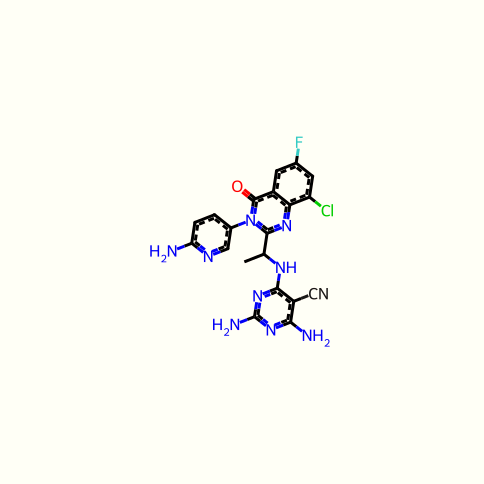 CC(Nc1nc(N)nc(N)c1C#N)c1nc2c(Cl)cc(F)cc2c(=O)n1-c1ccc(N)nc1